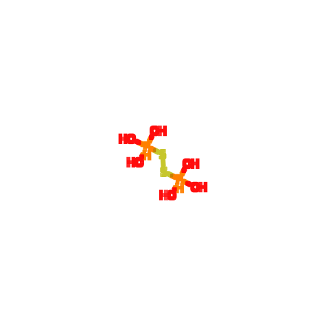 O[PH](O)(O)SS[PH](O)(O)O